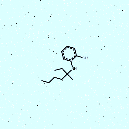 CCCCC(C)(CC)Nc1ccccc1O